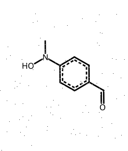 CN(O)c1ccc(C=O)cc1